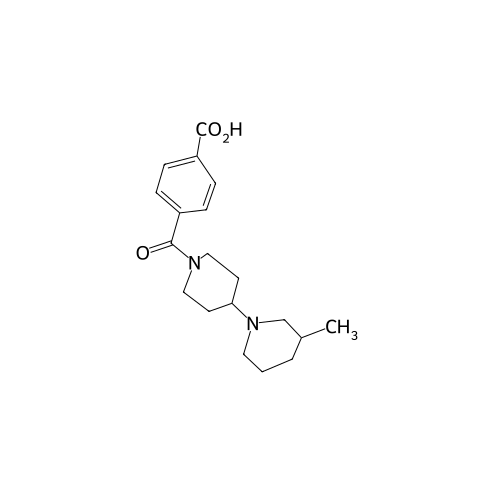 CC1CCCN(C2CCN(C(=O)c3ccc(C(=O)O)cc3)CC2)C1